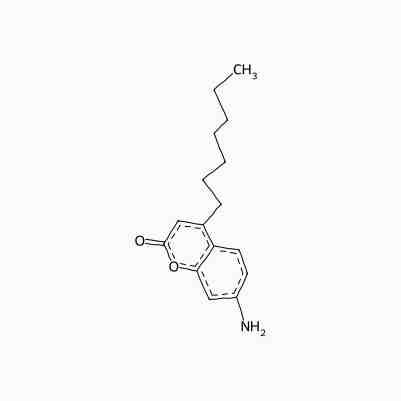 CCCCCCCc1cc(=O)oc2cc(N)ccc12